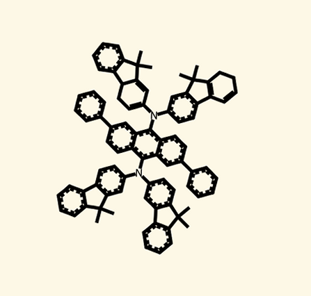 CC1(C)C2=C(C=CCC2)c2ccc(N(C3=CCC4C(=C3)C(C)(C)c3ccccc34)c3c4cc(-c5ccccc5)ccc4c(N(c4ccc5c(c4)-c4ccccc4C5(C)C)c4ccc5c(c4)C(C)(C)c4ccccc4-5)c4cc(-c5ccccc5)ccc34)cc21